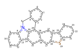 c1ccc2c(c1)Cn1c3ccccc3c3cc4cc5sc6ccccc6c5cc4c-2c31